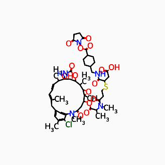 C/C1=C\C=C\C(C)C2(O)CC(OC(=O)N2)C(C)C2OC2(C)C(OC(=O)C(C)N(C)C(=O)CCSC(CC(=O)O)C(=O)NCC2CCC(C(=O)ON3C(=O)CCC3=O)CC2)CC(=O)N(C)c2cc(cc(C)c2Cl)C1